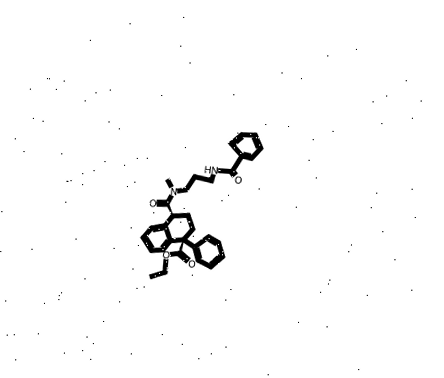 CCOC(=O)[C@]1(c2ccccc2)CC[C@H](C(=O)N(C)CCCNC(=O)c2ccccc2)c2ccccc21